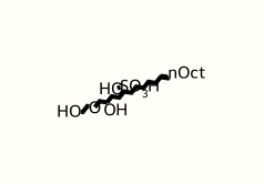 CCCCCCCCC=CCCCCCCCCC(O)COCCO.O=S(=O)(O)O